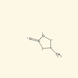 CC1COC(=O)C1